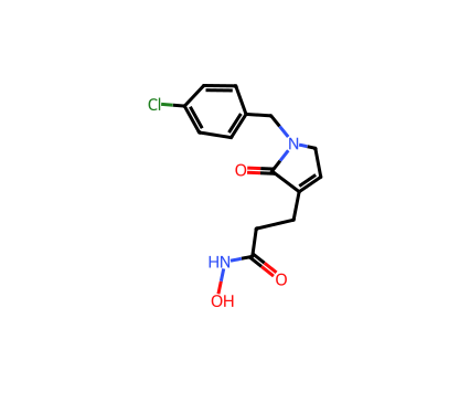 O=C(CCC1=CCN(Cc2ccc(Cl)cc2)C1=O)NO